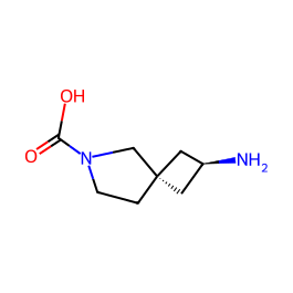 N[C@H]1C[C@@]2(CCN(C(=O)O)C2)C1